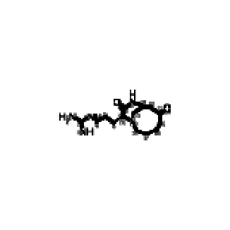 N=C(N)NCCC[C@H]1C(=O)NC2CC(=O)CCCCN1C2